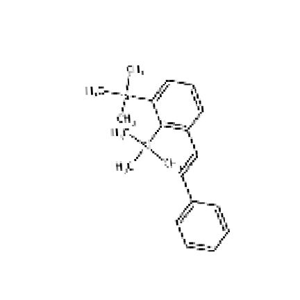 C[Si](C)(C)c1cccc(C=Cc2ccccc2)c1[Si](C)(C)C